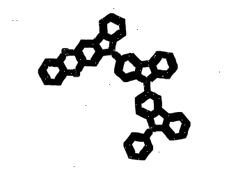 c1ccc(-n2c3ccccc3c3cc(-n4c5ccccc5c5cc(-n6c7ccccc7c7cc8c(cc76)Oc6ccccc6O8)ccc54)ccc32)cc1